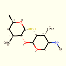 CCN[C@H]1CO[C@@H](O[C@H]2[C@H](S)O[C@H](C)C[C@@H]2C=O)C[C@@H]1OC